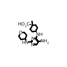 C[C@]1(C(=O)O)CC[C@@H](Nc2nc(NC3CCOCC3)ncc2N)CC1